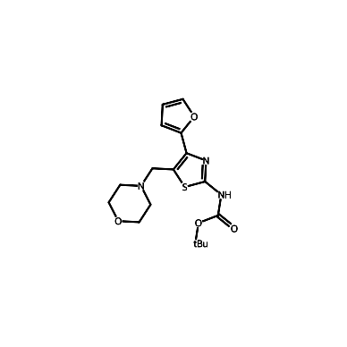 CC(C)(C)OC(=O)Nc1nc(-c2ccco2)c(CN2CCOCC2)s1